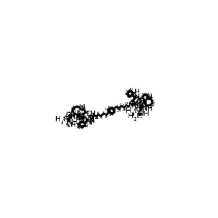 C=CN(CCCCCCc1ccc(CCCCCCn2cc([C@@H](NC(=O)[C@@H]3CC[C@@H]4CCCC[C@H](NC(=O)[C@H](C)NC)C(=O)N43)c3ccccc3)nn2)cc1)/N=N\C(NC(=O)[C@@H]1CC[C@@H]2CCCC[C@H](NC(=O)[C@H](C)NC)C(=O)N21)c1ccccc1